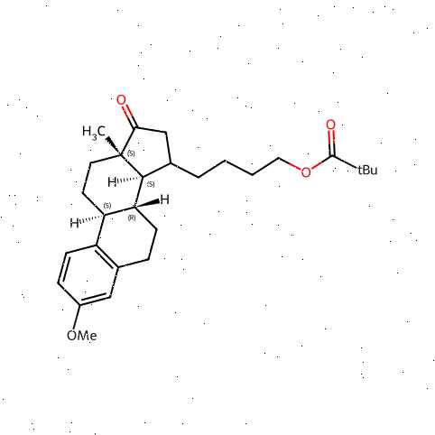 COc1ccc2c(c1)CC[C@@H]1[C@@H]2CC[C@]2(C)C(=O)CC(CCCCOC(=O)C(C)(C)C)[C@@H]12